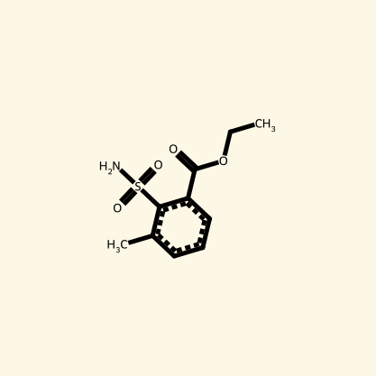 CCOC(=O)c1cccc(C)c1S(N)(=O)=O